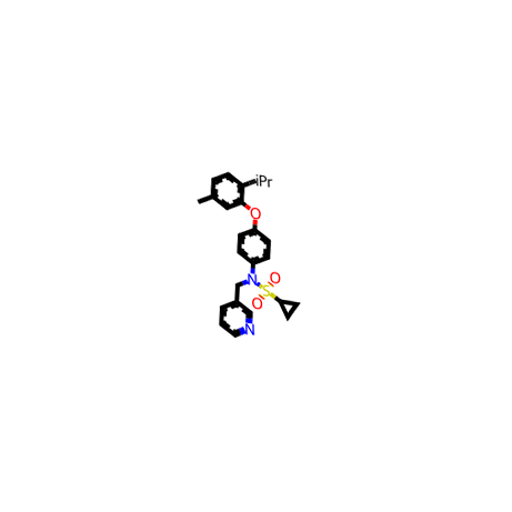 Cc1ccc(C(C)C)c(Oc2ccc(N(Cc3cccnc3)S(=O)(=O)C3CC3)cc2)c1